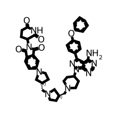 Nc1ncnc2c1c(-c1ccc(Oc3ccccc3)cc1)nn2C1CCN(C[C@H]2CCN(C[C@H]3CCN(c4ccc5c(c4)C(=O)N(C4CCC(=O)NC4=O)C5=O)C3)C2)CC1